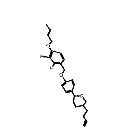 C=CCCC1CCC(c2ccc(OCc3ccc(OCCCC)c(F)c3F)cc2)OC1